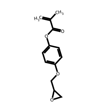 C=C(C)C(=O)Oc1ccc(OCC2CO2)cc1